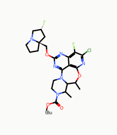 CC1Oc2nc(Cl)c(F)c3nc(OC[C@@]45CCCN4C[C@H](F)C5)nc(c23)N2CCN(C(=O)OC(C)(C)C)C(C)C12